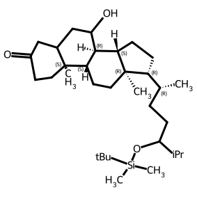 CC(C)C(CC[C@@H](C)[C@H]1CC[C@H]2[C@@H]3C(O)CC4CC(=O)CC[C@]4(C)[C@H]3CC[C@]12C)O[Si](C)(C)C(C)(C)C